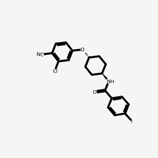 N#Cc1ccc(O[C@H]2CC[C@H](NC(=O)c3ccc(I)cc3)CC2)cc1Cl